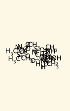 COC(=O)C[C@@H]1N=C(c2ccc(-c3cccc(CCC(=O)N[C@H](C(=O)N4C[C@H](O)C[C@H]4C(=O)N[C@@H](C)c4ccc(-c5scnc5C)cc4)C(C)(C)C)c3)cc2)c2c(sc(C)c2C)-n2c(C)nnc21